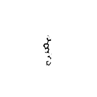 Cn1cc(-c2ccc3nnc(NC(=O)CN4CC[C@@H](F)C4)cc3c2)cn1